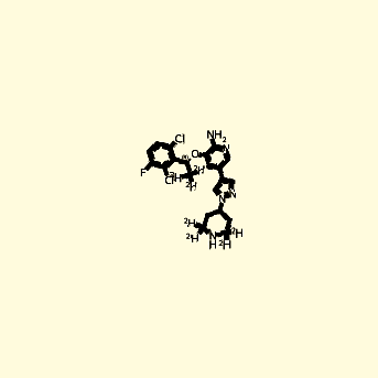 [2H]C1([2H])CC(n2cc(-c3cnc(N)c(O[C@@H](c4c(Cl)ccc(F)c4Cl)C([2H])([2H])[2H])c3)cn2)CC([2H])([2H])N1